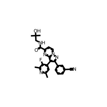 Cc1cc(-c2c(-c3cccc(C#N)c3)nn3ccc(C(=O)NCC(C)(C)O)nc23)c(F)c(C)n1